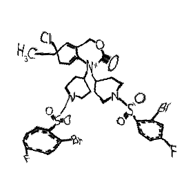 CC1(Cl)C=C2COC(=O)[N+](C3CCN(S(=O)(=O)c4ccc(F)cc4Br)CC3)(C3CCN(S(=O)(=O)c4ccc(F)cc4Br)CC3)C2=CC1